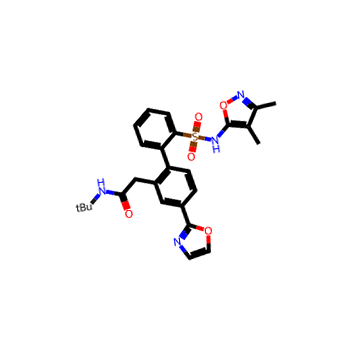 Cc1noc(NS(=O)(=O)c2ccccc2-c2ccc(-c3ncco3)cc2CC(=O)NC(C)(C)C)c1C